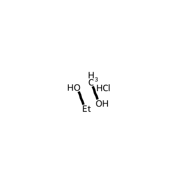 CCO.CO.Cl